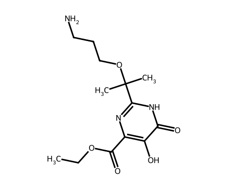 CCOC(=O)c1nc(C(C)(C)OCCCN)[nH]c(=O)c1O